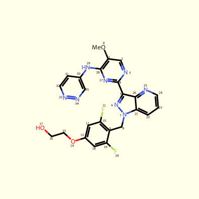 COc1cnc(-c2nn(Cc3c(F)cc(OCCO)cc3F)c3cccnc23)nc1Nc1ccnnc1